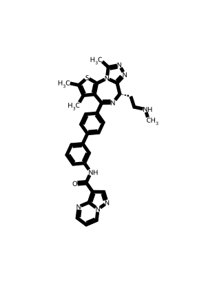 CNCC[C@@H]1N=C(c2ccc(-c3cccc(NC(=O)c4cnn5cccnc45)c3)cc2)c2c(sc(C)c2C)-n2c(C)nnc21